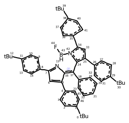 CC(C)(C)c1ccc(C2=CC(c3ccc(C(C)(C)C)cc3)=N/C2=C(/c2ccccc2)c2c(-c3ccc(C(C)(C)C)cc3)cc(-c3ccc(C(C)(C)C)cc3)n2BF)cc1